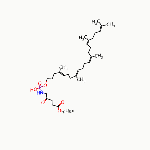 CCCCCCOC(=O)CCC(=O)CNP(=O)(O)OCCCC(C)=CCCC(C)=CCCC=C(C)CCC=C(C)CCC=C(C)C